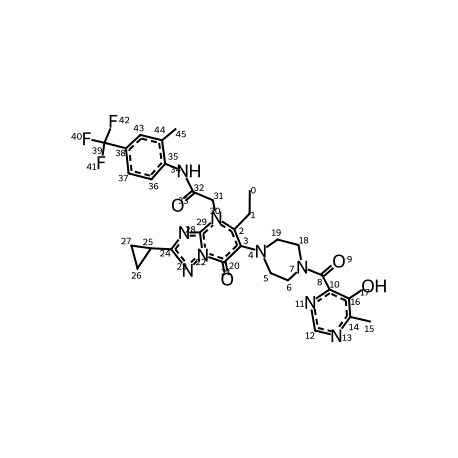 CCc1c(N2CCN(C(=O)c3ncnc(C)c3O)CC2)c(=O)n2nc(C3CC3)nc2n1CC(=O)Nc1ccc(C(F)(F)F)cc1C